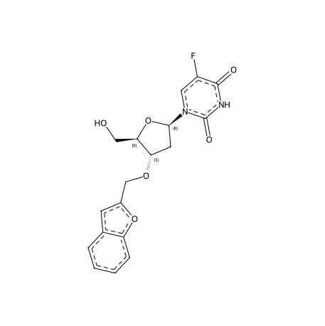 O=c1[nH]c(=O)n([C@H]2C[C@H](OCc3cc4ccccc4o3)[C@@H](CO)O2)cc1F